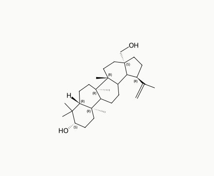 C=C(C)[C@@H]1CC[C@]2(CO)CC[C@]3(C)C(CCC4[C@@]5(C)CC[C@H](O)C(C)(C)[C@@H]5CC[C@]43C)C12